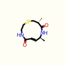 C[C@H]1/C=C/C(=O)NCCSC[C@H](C)C(=O)N1